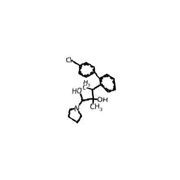 CC(c1ccccc1-c1ccc(Cl)cc1)C(C)(O)C(O)N1CCCC1